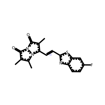 Cc1c(C)n2c(/C=C/c3nc4ccc(F)cc4s3)c(C)c(=O)n2c1=O